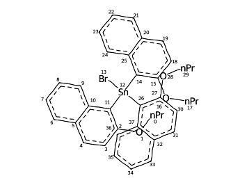 CCCOc1ccc2ccccc2[c]1[Sn]([Br])([c]1c(OCCC)ccc2ccccc12)[c]1c(OCCC)ccc2ccccc12